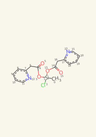 C[Si](Cl)(OC(=O)Cc1ccccn1)OC(=O)Cc1ccccn1